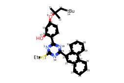 CCSc1nc(-c2ccc(OC(C)(C)CC(C)(C)C)cc2O)nc(-c2cc3ccccc3c3ccccc23)n1